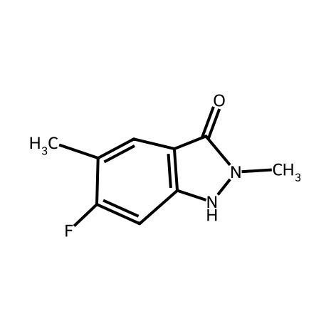 Cc1cc2c(=O)n(C)[nH]c2cc1F